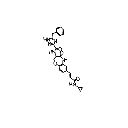 CN1C(=O)C(NC(=O)c2n[nH]c(Cc3ccccc3)n2)COc2ccc(/C=C/C(=O)NC3CC3)cc21